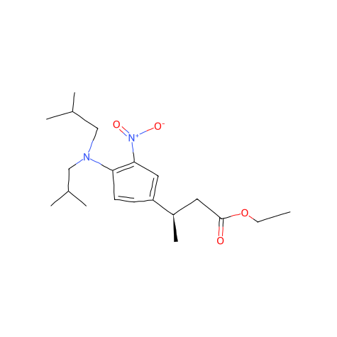 CCOC(=O)C[C@@H](C)c1ccc(N(CC(C)C)CC(C)C)c([N+](=O)[O-])c1